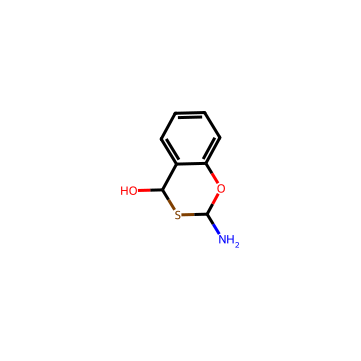 NC1Oc2ccccc2C(O)S1